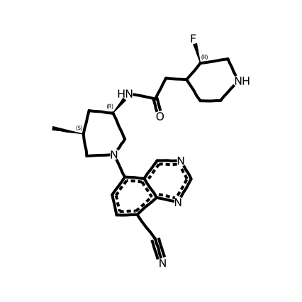 C[C@H]1C[C@@H](NC(=O)CC2CCNC[C@@H]2F)CN(c2ccc(C#N)c3ncncc23)C1